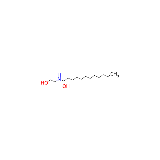 CCCCCCCCCCCC(O)NCCO